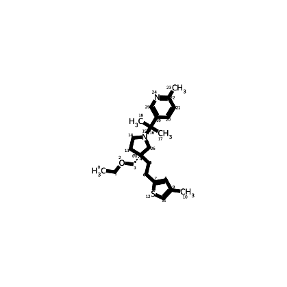 CCOC[C@]1(CCc2cc(C)cs2)CCN(C(C)(C)c2ccc(C)nc2)C1